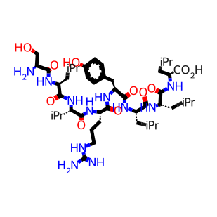 CC(C)C[C@H](NC(=O)[C@H](CC(C)C)NC(=O)[C@H](CC(C)C)NC(=O)[C@H](Cc1ccc(O)cc1)NC(=O)[C@H](CCCNC(=N)N)NC(=O)[C@@H](NC(=O)[C@H](CC(C)C)NC(=O)[C@@H](N)CO)C(C)C)C(=O)O